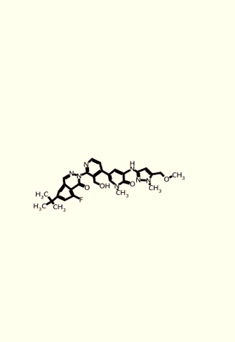 COCc1cc(Nc2cc(-c3ccnc(-n4ncc5cc(C(C)(C)C)cc(F)c5c4=O)c3CO)cn(C)c2=O)nn1C